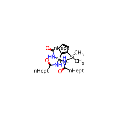 CCCCCCCC(=O)[NH][V]([NH]C(=O)CCCCCCC)([NH]C(=O)CCCCCCC)[C]1=C([Si](C)(C)C)C=CC1